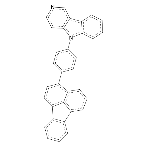 c1ccc2c(c1)-c1cccc3c(-c4ccc(-n5c6ccccc6c6cnccc65)cc4)ccc-2c13